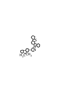 CC1(C)c2ccccc2-c2ccc(-c3ccnc(-n4c5ccccc5c5c6sc7ccccc7c6ccc54)c3)cc21